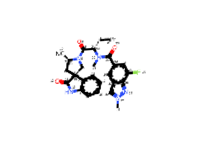 CC(C)C[C@@H](C(=O)N1C[C@]2(C[C@H]1C#N)C(=O)Nc1ccccc12)N(C)C(=O)c1cc(F)c2nn(C)cc2c1